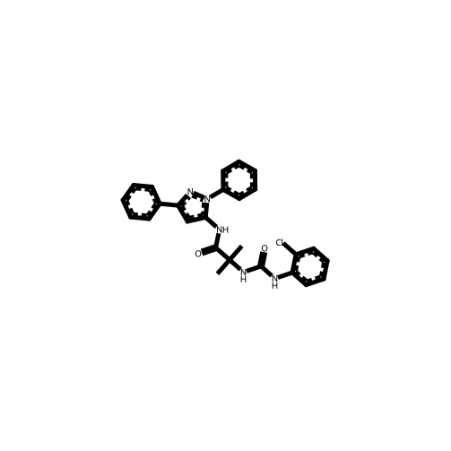 CC(C)(NC(=O)Nc1ccccc1Cl)C(=O)Nc1cc(-c2ccccc2)nn1-c1ccccc1